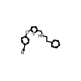 N#Cc1ccc(Oc2ccc(CNCCc3ccccc3)s2)cc1